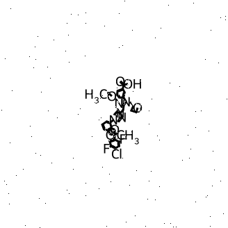 CCOc1cc(C(=O)O)cc2c1nc(CN1CCN(c3cccc4c3OC(C)(c3cc(F)c(Cl)cc3F)O4)C=N1)n2C[C@@H]1CCO1